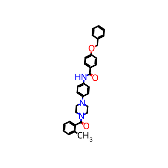 Cc1ccccc1C(=O)N1CCN(c2ccc(NC(=O)c3ccc(OCc4ccccc4)cc3)cc2)CC1